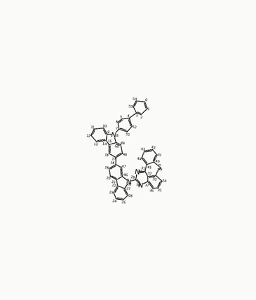 c1ccc(-c2ccc(-n3c4ccccc4c4cc(-c5ccc6c7ccccc7n(-c7nc8c9c(cccc9n7)Sc7ccccc7-8)c6c5)ccc43)cc2)cc1